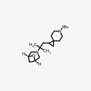 CC(C)(C)N1CCC2(CC1)CC2CC(C)(C)N1C[C@H]2C[C@@H](C1)O2